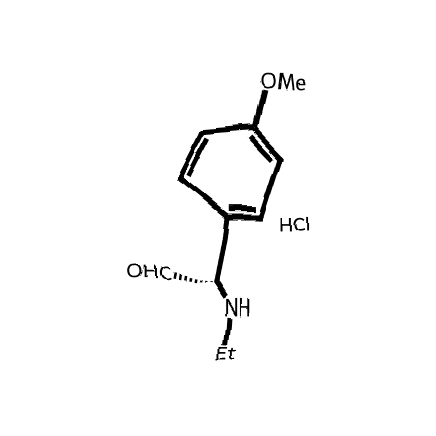 CCN[C@H](C=O)c1ccc(OC)cc1.Cl